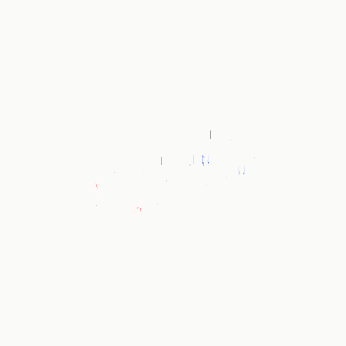 C=C1C(CC)C(c2cccc(Nc3cnccc3CC)c2C)CC(=O)C1C1CCOCC1